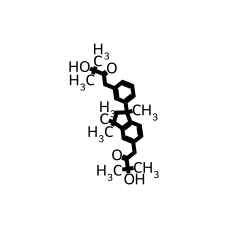 CC(C)(O)C(=O)Cc1cccc(C2(C)CC(C)(C)c3cc(CC(=O)C(C)(C)O)ccc32)c1